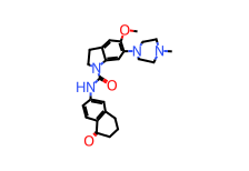 COc1cc2c(cc1N1CCN(C)CC1)N(C(=O)Nc1ccc3c(c1)CCCC3=O)CC2